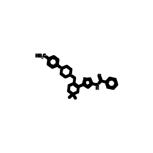 CC1(C)CCC(CN2CCN(c3ccc(C(=O)O)cc3)CC2)=C(c2cc(NC(=O)c3ccccc3)cs2)C1